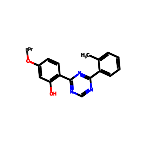 CCCOc1ccc(-c2ncnc(-c3ccccc3C)n2)c(O)c1